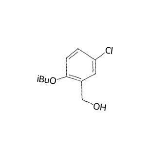 CC(C)COc1ccc(Cl)cc1CO